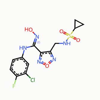 O=S(=O)(NCc1nonc1/C(=N/O)Nc1ccc(F)c(Cl)c1)C1CC1